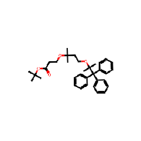 CC(C)(C)OC(=O)CCOC(C)(C)CCOC(C)(C)C(c1ccccc1)(c1ccccc1)c1ccccc1